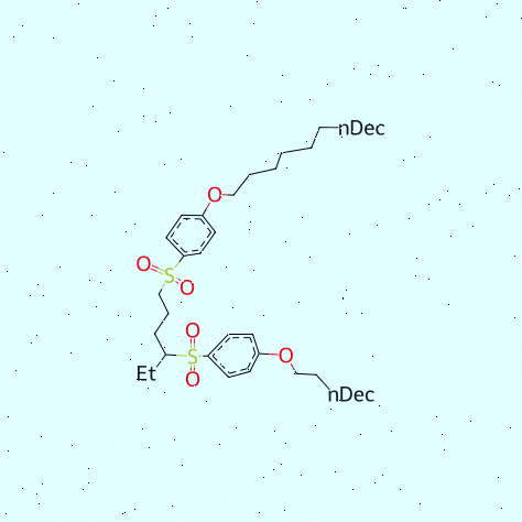 CCCCCCCCCCCCCCCCOc1ccc(S(=O)(=O)CCCC(CC)S(=O)(=O)c2ccc(OCCCCCCCCCCCC)cc2)cc1